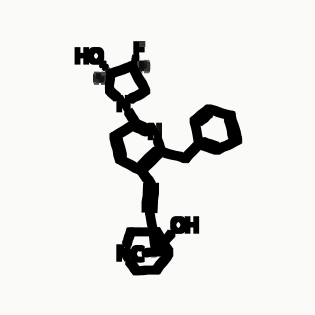 O[C@H]1CN(c2ccc(C#C[C@@]3(O)CN4CCC3CC4)c(Cc3ccccc3)n2)C[C@H]1F